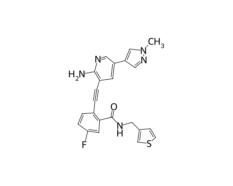 Cn1cc(-c2cnc(N)c(C#Cc3ccc(F)cc3C(=O)NCc3ccsc3)c2)cn1